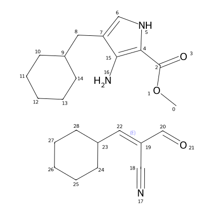 COC(=O)c1[nH]cc(CC2CCCCC2)c1N.N#C/C(C=O)=C\C1CCCCC1